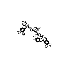 COc1ccc(C[C@@H]2c3cc(OC)c(OC)cc3CC[N+]2(C)C(C)COC(=O)/C=C/C(=O)OCCC[N+]2(Cc3ccc(OC)c(OC)c3)CCOCC2)cc1.[Cl-].[Cl-]